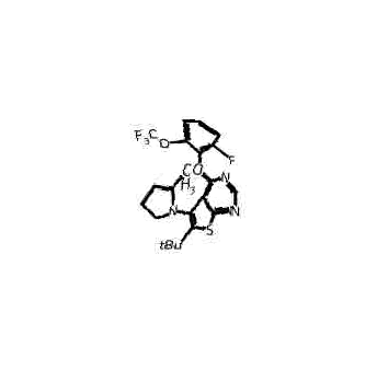 CC1CCCN1c1c(C(C)(C)C)sc2ncnc(Oc3c(F)cccc3OC(F)(F)F)c12